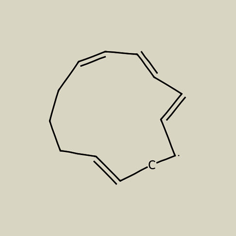 [CH]1/C=C/C=C/C=C\CCC/C=C/C1